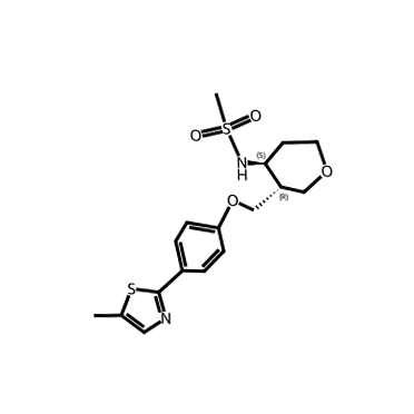 Cc1cnc(-c2ccc(OC[C@H]3COCC[C@@H]3NS(C)(=O)=O)cc2)s1